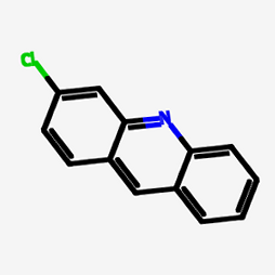 Clc1ccc2cc3ccccc3nc2c1